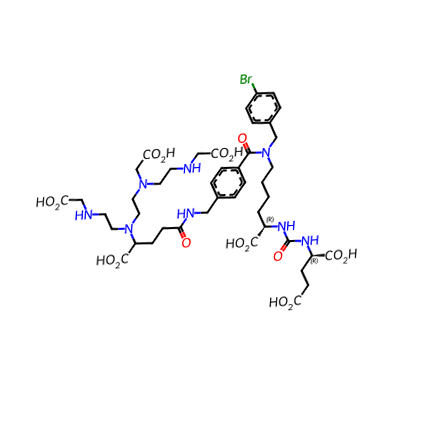 O=C(O)CC[C@@H](NC(=O)N[C@H](CCCCN(Cc1ccc(Br)cc1)C(=O)c1ccc(CNC(=O)CCC(C(=O)O)N(CCNCC(=O)O)CCN(CCNCC(=O)O)CC(=O)O)cc1)C(=O)O)C(=O)O